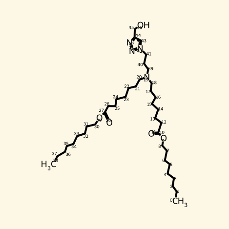 CCCCCCCCCOC(=O)CCCCCCCN(CCCCCCCC(=O)OCCCCCCCCC)CCCn1cc(CO)nn1